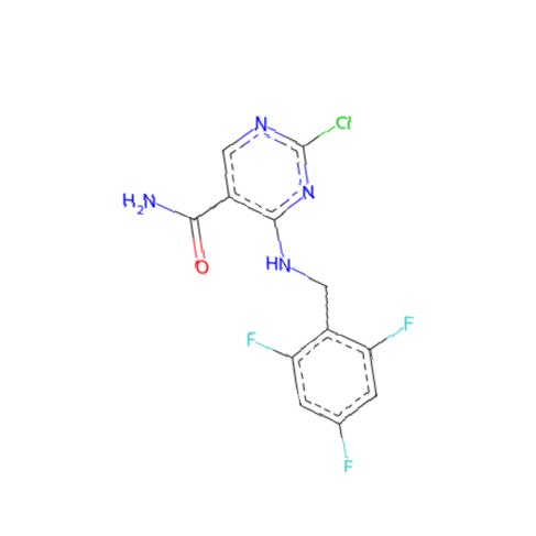 NC(=O)c1cnc(Cl)nc1NCc1c(F)cc(F)cc1F